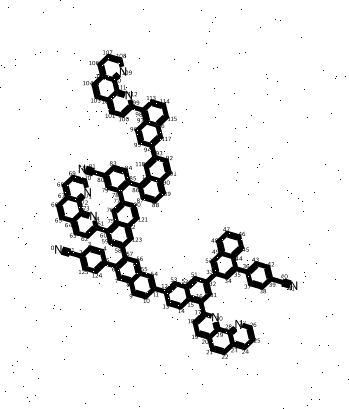 N#Cc1ccc(-c2cc3ccc(-c4ccc5c(-c6ccc7ccc8cccnc8c7n6)cc(-c6cc(-c7ccc(C#N)cc7)c7ccccc7c6)cc5c4)cc3cc2-c2cc(-c3ccc4ccc5cccnc5c4n3)c3cc(-c4cc(C#N)ccc4-c4cccc5ccc(-c6ccc7c(-c8ccc9ccc%10cccnc%10c9n8)cccc7c6)cc45)ccc3c2)cc1